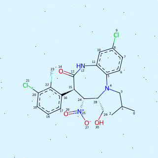 CC(C)CN1c2ccc(Cl)cc2NC(=O)[C@H](c2cccc(Cl)c2F)[C@@H]([N+](=O)[O-])[C@H]1CO